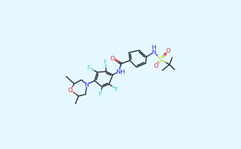 CC1CN(c2c(F)c(F)c(NC(=O)c3ccc(NS(=O)(=O)C(C)(C)C)cc3)c(F)c2F)CC(C)O1